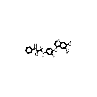 COc1cc2nccc(Oc3ccc(NC(=O)C(=O)Nc4ccccc4)cc3F)c2cc1OC